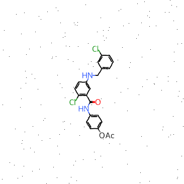 CC(=O)Oc1ccc(NC(=O)c2cc(NCc3cccc(Cl)c3)ccc2Cl)cc1